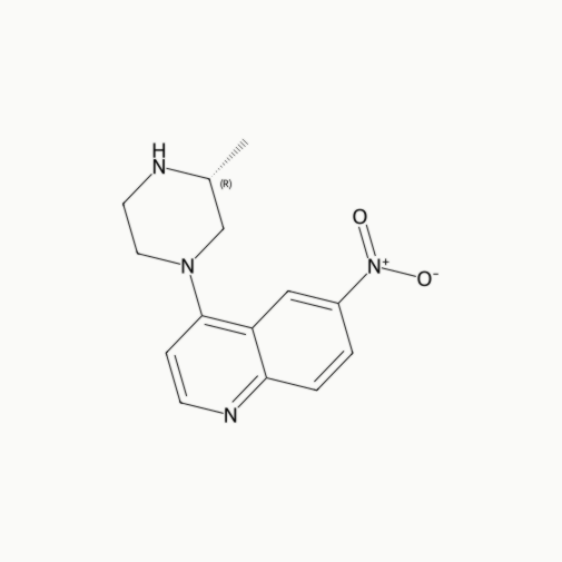 C[C@@H]1CN(c2ccnc3ccc([N+](=O)[O-])cc23)CCN1